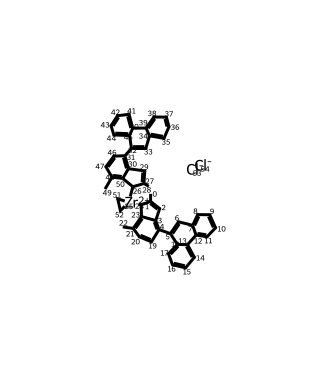 CC1=Cc2c(-c3cc4ccccc4c4ccccc34)ccc(C)c2[CH]1[Zr+2]1([CH]2C(C)=Cc3c(-c4cc5ccccc5c5ccccc45)ccc(C)c32)[CH2][CH2]1.[Cl-].[Cl-]